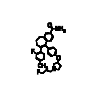 Cc1ccc(C2=C(c3ccc(OC4CCN(CCCF)C4)cc3)c3ccc(C(N)=O)cc3CCC2)c(F)c1